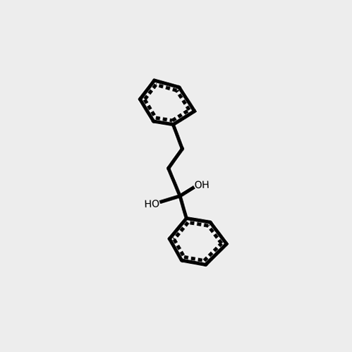 OC(O)(CCc1ccccc1)c1ccccc1